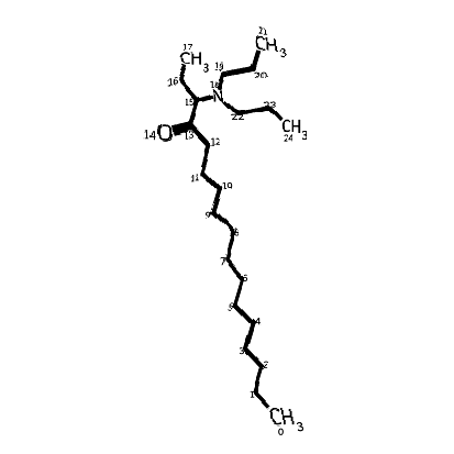 CCCCCCCCCCCCCC(=O)C(CC)N(CCC)CCC